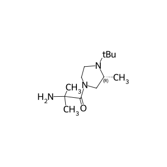 C[C@@H]1CN(C(=O)C(C)(C)N)CCN1C(C)(C)C